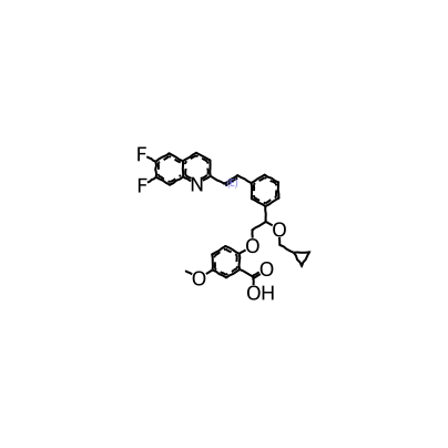 COc1ccc(OCC(OCC2CC2)c2cccc(/C=C/c3ccc4cc(F)c(F)cc4n3)c2)c(C(=O)O)c1